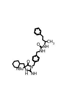 CCCCC1(CC2CCCCC2)NC(=N)N(Cc2ccc(CNC(=O)NC(C)CCc3ccccc3)cc2)C1=O